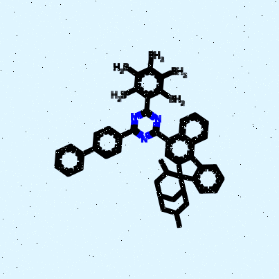 Bc1c(B)c(B)c(-c2nc(-c3ccc(-c4ccccc4)cc3)nc(-c3cc4c(c5ccccc35)-c3ccccc3C43C(C)CC4CC(C)CC3C4)n2)c(B)c1B